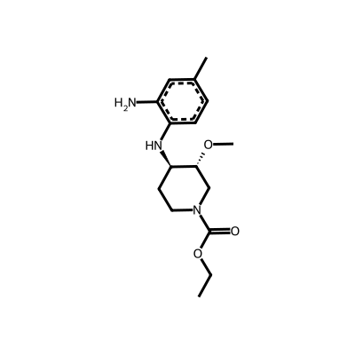 CCOC(=O)N1CC[C@@H](Nc2ccc(C)cc2N)[C@H](OC)C1